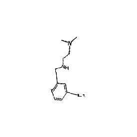 CCc1cccc(CNCCN(C)C)c1